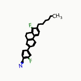 CCCCCCc1ccc2c(c1F)CCc1cc(-c3ccc(C#N)c(F)c3)ccc1-2